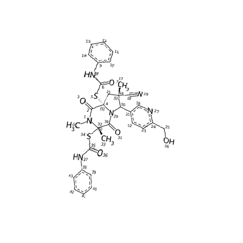 CN1C(=O)[C@@]2(SC(=O)Nc3ccccc3)C[C@](C)(C#N)C(c3ccc(CO)nc3)N2C(=O)[C@]1(C)SC(=O)Nc1ccccc1